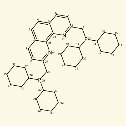 c1cc2ccc3ccc(CP(C4CCCCC4)C4CCCCC4)nc3c2nc1CP(C1CCCCC1)C1CCCCC1